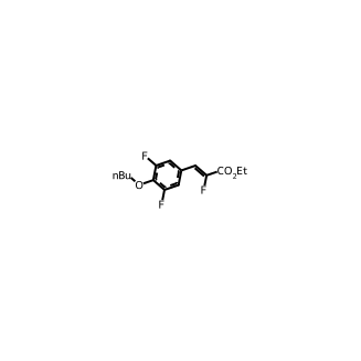 CCCCOc1c(F)cc(/C=C(\F)C(=O)OCC)cc1F